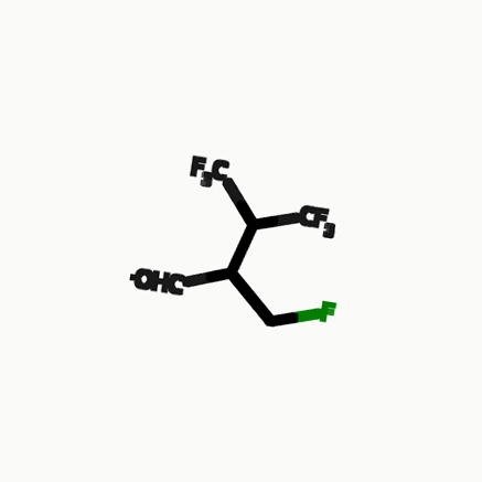 O=[C]C(CF)C(C(F)(F)F)C(F)(F)F